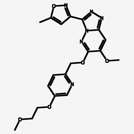 COCCOc1ccc(COc2nn3c(-c4cc(C)on4)nnc3cc2OC)nc1